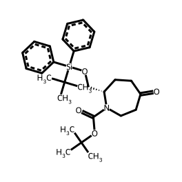 CC(C)(C)OC(=O)N1CCC(=O)CC[C@H]1CO[Si](c1ccccc1)(c1ccccc1)C(C)(C)C